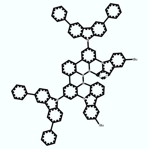 CC(C)(C)c1ccc2c(c1)c1cccc3c1n2-c1cc(-n2c4ccc(-c5ccccc5)cc4c4cc(-c5ccccc5)ccc42)cc2c1B3N1B3c4c(cc(-n5c6ccc(-c7ccccc7)cc6c6cc(-c7ccccc7)ccc65)cc4-n4c5ccc(C(C)(C)C)cc5c5cccc3c54)-c3cccc-2c31